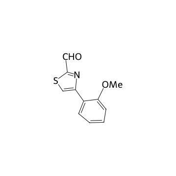 COc1ccccc1-c1csc(C=O)n1